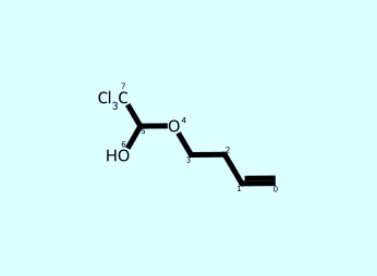 C=CCCOC(O)C(Cl)(Cl)Cl